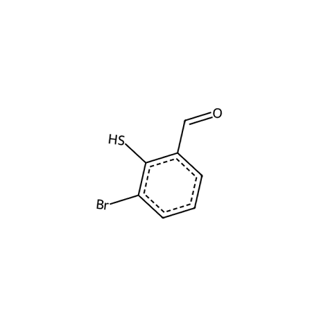 O=Cc1cccc(Br)c1S